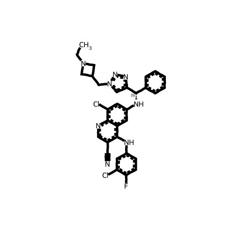 CCN1CC(Cn2cc([C@@H](Nc3cc(Cl)c4ncc(C#N)c(Nc5ccc(F)c(Cl)c5)c4c3)c3ccccc3)nn2)C1